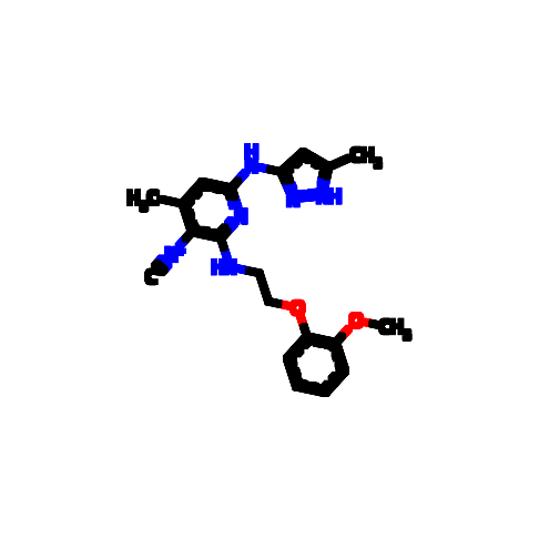 [C-]#[N+]c1c(C)cc(Nc2cc(C)[nH]n2)nc1NCCOc1ccccc1OC